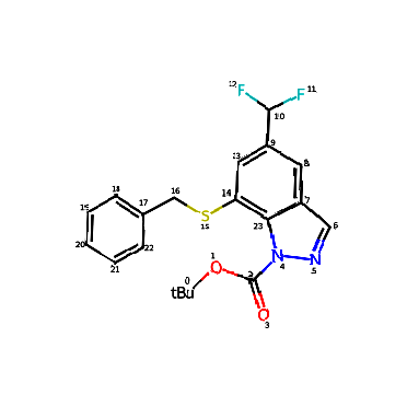 CC(C)(C)OC(=O)n1ncc2cc(C(F)F)cc(SCc3ccccc3)c21